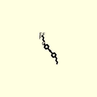 CCCCc1ccc(C#Cc2ccc(OCCCC(F)(F)F)cc2)cc1